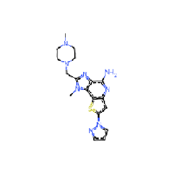 CN1CCN(Cc2nc3c(N)nc4cc(-n5cccn5)sc4c3n2C)CC1